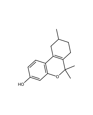 CC1CCC2=C(C1)c1ccc(O)cc1OC2(C)C